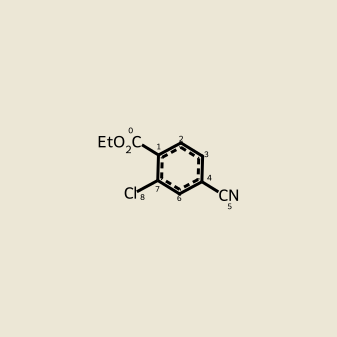 CCOC(=O)c1ccc(C#N)cc1Cl